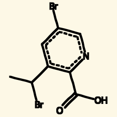 CC(Br)c1cc(Br)cnc1C(=O)O